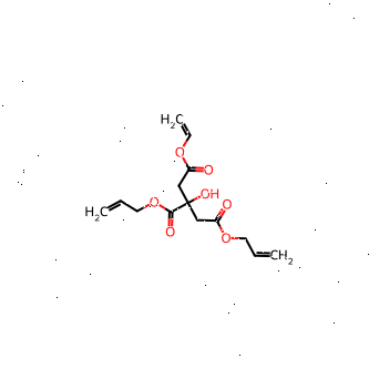 C=CCOC(=O)CC(O)(CC(=O)OC=C)C(=O)OCC=C